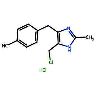 Cc1nc(Cc2ccc(C#N)cc2)c(CCl)[nH]1.Cl